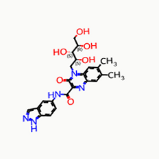 Cc1cc2nc(C(=O)Nc3ccc4[nH]ncc4c3)c(=O)n(C[C@H](O)[C@H](O)[C@H](O)CO)c2cc1C